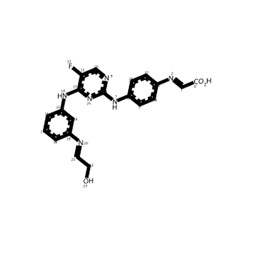 O=C(O)C=Nc1ccc(Nc2ncc(F)c(Nc3cccc(N=CCO)c3)n2)cc1